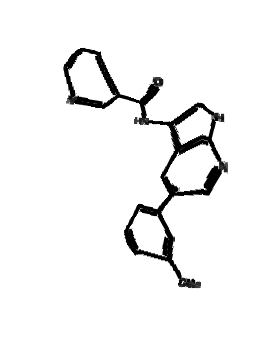 COc1cccc(-c2cnc3[nH]cc(NC(=O)c4cccnc4)c3c2)c1